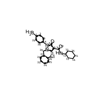 Bc1ccc(-n2c(=O)c(C(=O)NC3CCCCC3)cn2Cc2ccccc2Cl)cc1